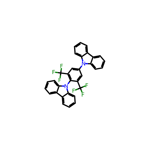 FC(F)(F)c1cc(-n2c3ccccc3c3ccccc32)cc(C(F)(F)F)c1-n1c2ccccc2c2ccccc21